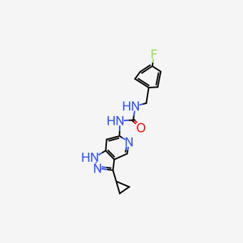 O=C(NCc1ccc(F)cc1)Nc1cc2[nH]nc(C3CC3)c2cn1